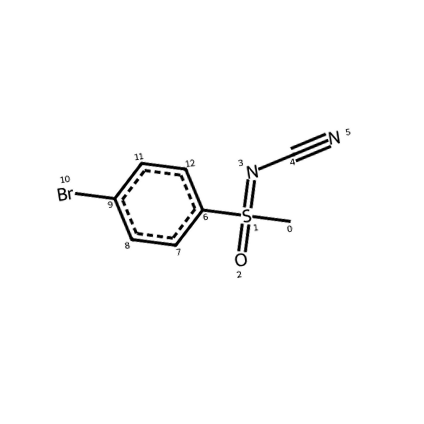 CS(=O)(=NC#N)c1ccc(Br)cc1